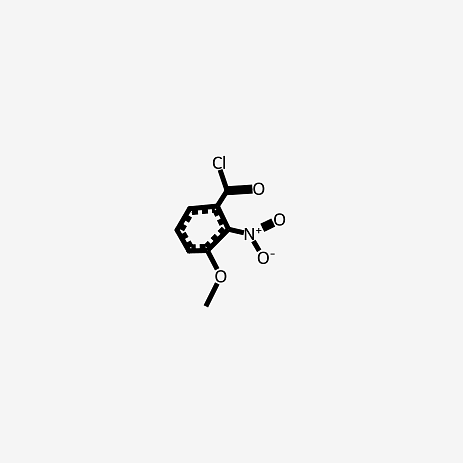 COc1cccc(C(=O)Cl)c1[N+](=O)[O-]